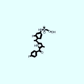 Cc1cc(C(C)c2ccc(NS(=O)(=O)CCO)cc2F)[nH]c1C(=O)c1ccc(F)cc1